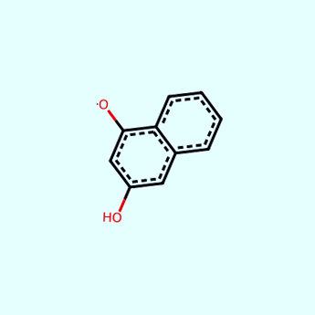 [O]c1cc(O)cc2ccccc12